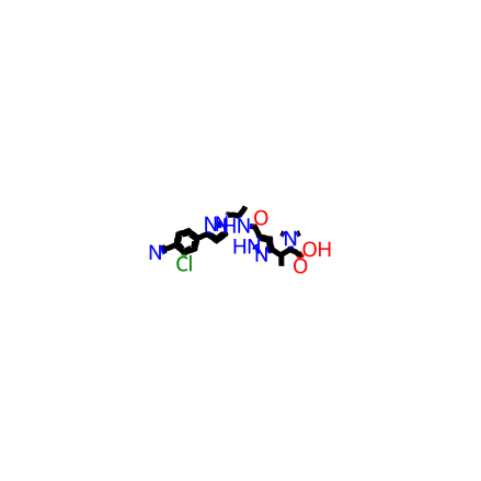 CC(Cn1ccc(-c2ccc(C#N)c(Cl)c2)n1)NC(=O)c1cc(C(C)C(C(=O)O)N(C)C)n[nH]1